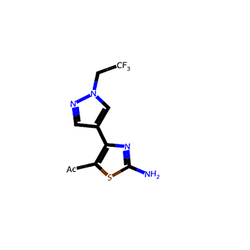 CC(=O)c1sc(N)nc1-c1cnn(CC(F)(F)F)c1